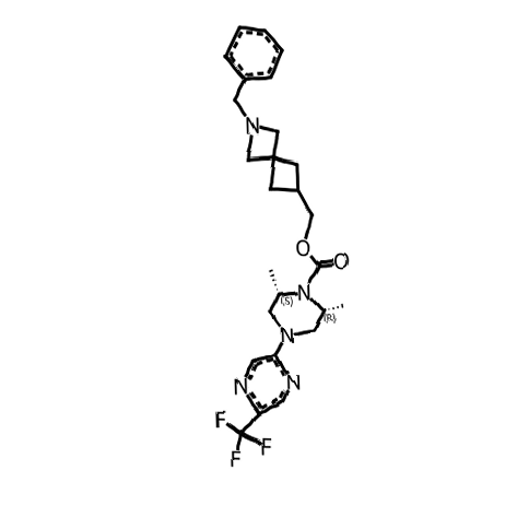 C[C@@H]1CN(c2cnc(C(F)(F)F)cn2)C[C@H](C)N1C(=O)OCC1CC2(C1)CN(Cc1ccccc1)C2